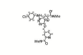 CNC(=O)c1cc(COc2nnc(Nc3ccc(Cl)cc3)c3cc(C(=O)NC)oc23)ccn1